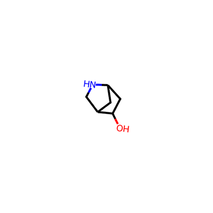 OC1CC2CC1CN2